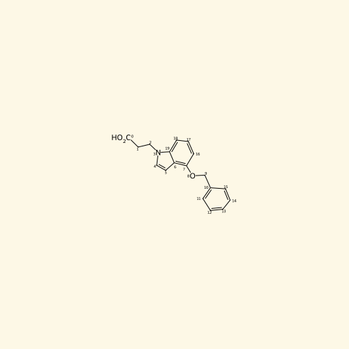 O=C(O)CCn1ccc2c(OCc3ccccc3)cccc21